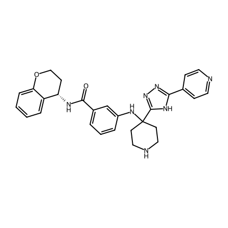 O=C(N[C@H]1CCOc2ccccc21)c1cccc(NC2(c3nnc(-c4ccncc4)[nH]3)CCNCC2)c1